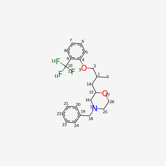 CC(COc1ccccc1C(F)(F)F)CC1CN(Cc2ccccc2)CCO1